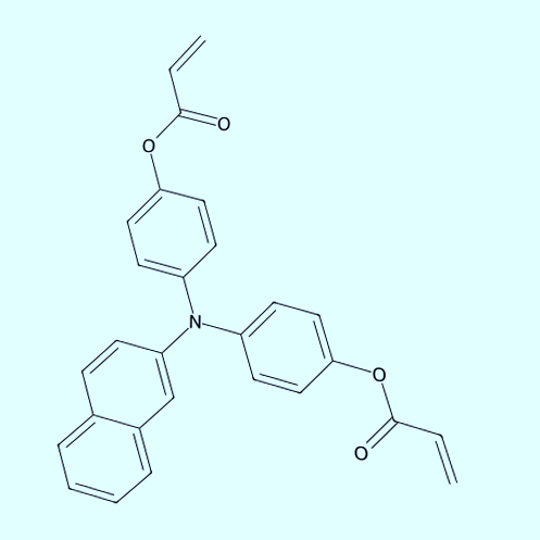 C=CC(=O)Oc1ccc(N(c2ccc(OC(=O)C=C)cc2)c2ccc3ccccc3c2)cc1